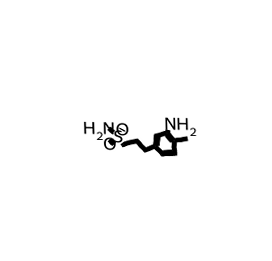 Cc1ccc(CCCS(N)(=O)=O)cc1N